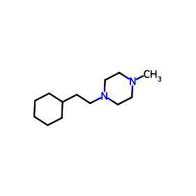 CN1CCN(CCC2CCCCC2)CC1